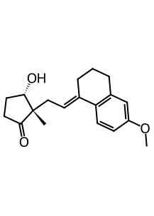 COc1ccc2c(c1)CCC/C2=C\C[C@]1(C)C(=O)CC[C@@H]1O